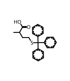 CC(CCSC(c1ccccc1)(c1ccccc1)c1ccccc1)C(=O)O